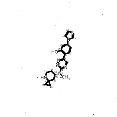 CN(c1ncc(-c2ccc(-n3ccnc3)cc2O)nn1)[C@H]1CCNC2(CC2)C1